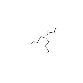 CCNN(CCCO)CCCO